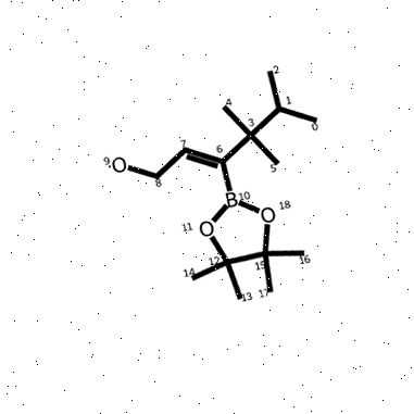 CC(C)C(C)(C)/C(=C/C[O])B1OC(C)(C)C(C)(C)O1